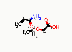 C=C.C=CC(N)=O.O=C(O)CO